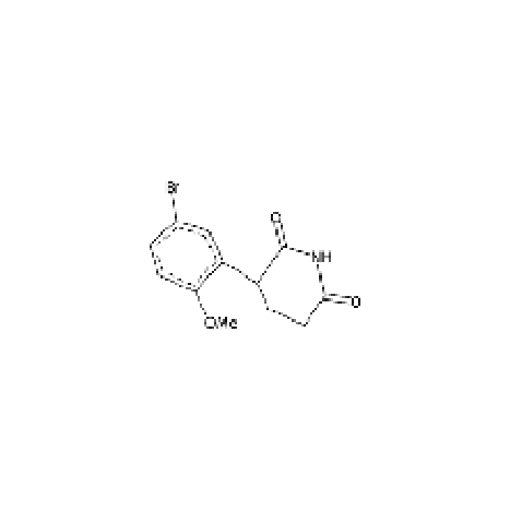 COc1ccc(Br)cc1C1CCC(=O)NC1=O